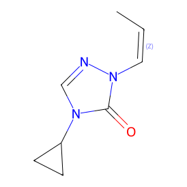 C/C=C\n1ncn(C2CC2)c1=O